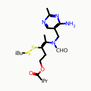 CCC(C)SS/C(CCOC(=O)C(C)C)=C(\C)N(C=O)Cc1cnc(C)nc1N